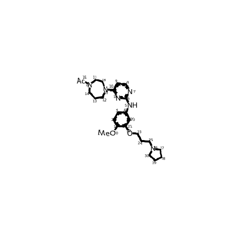 COc1ccc(Nc2nccc(N3CCCN(C(C)=O)CC3)n2)cc1OCCCN1CCCC1